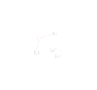 CCOC(C)=O.[Br-].[Li+]